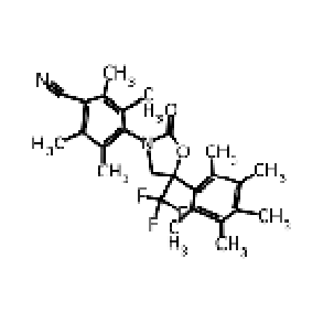 Cc1c(C)c(C)c(C2(C(F)(F)F)CN(c3c(C)c(C)c(C#N)c(C)c3C)C(=O)O2)c(C)c1C